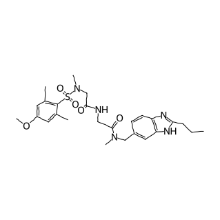 CCCc1nc2ccc(CN(C)C(=O)CNC(=O)CN(C)S(=O)(=O)c3c(C)cc(OC)cc3C)cc2[nH]1